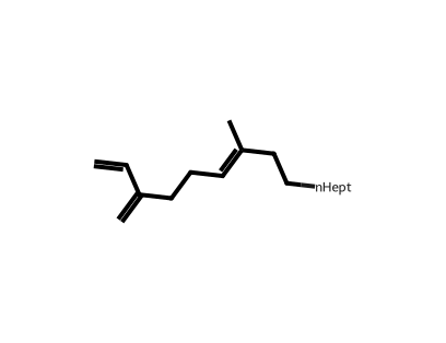 C=CC(=C)CCC=C(C)CCCCCCCCC